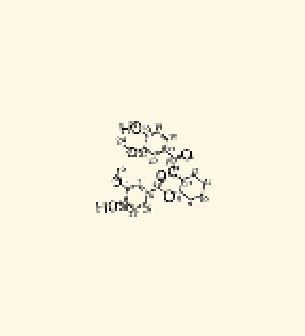 COc1cc(C(=O)O[C@H]2CCCC[C@@H]2OC(=O)c2ccc(O)c(OC)c2)ccc1O